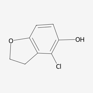 Oc1ccc2c(c1Cl)CCO2